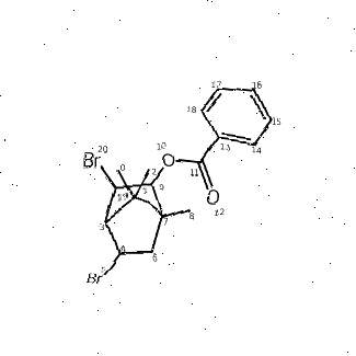 CC1(C)C2C(Br)CC1(C)C(OC(=O)c1ccccc1)C2Br